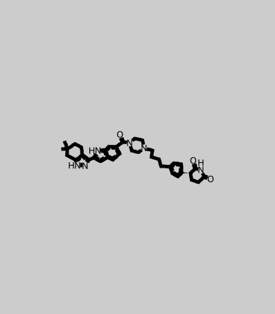 CC1(C)CCc2c(-c3cc4ccc(C(=O)N5CCN(CCCCc6ccc([C@H]7CCC(=O)NC7=O)cc6)CC5)cc4[nH]3)n[nH]c2C1